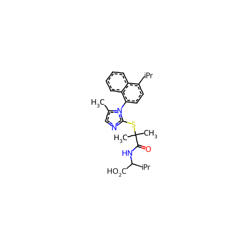 Cc1cnc(SC(C)(C)C(=O)NC(C(=O)O)C(C)C)n1-c1ccc(C(C)C)c2ccccc12